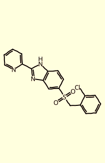 O=S(=O)(Cc1ccccc1Cl)c1ccc2[nH]c(-c3ccccn3)nc2c1